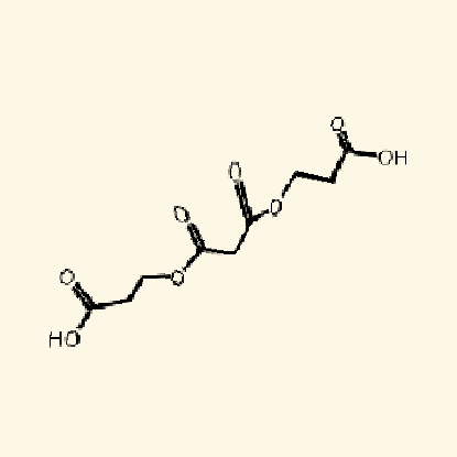 O=C(O)CCOC(=O)CC(=O)OCCC(=O)O